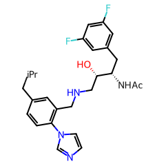 CC(=O)N[C@@H](Cc1cc(F)cc(F)c1)[C@@H](O)CNCc1cc(CC(C)C)ccc1-n1ccnc1